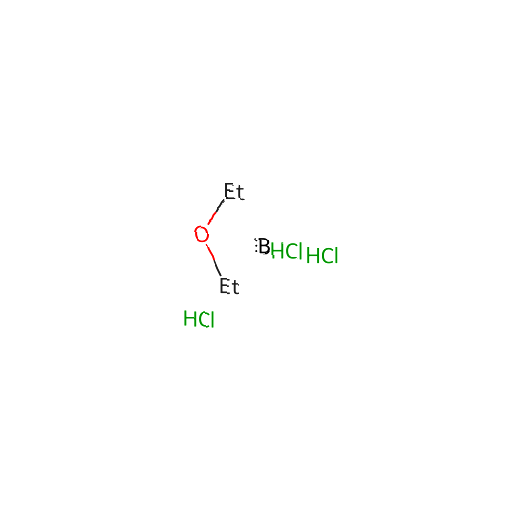 CCOCC.Cl.Cl.Cl.[B]